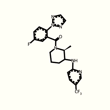 C[C@H]1C(Nc2ccc(C(F)(F)F)cn2)CCCN1C(=O)c1cc(F)ccc1-n1nccn1